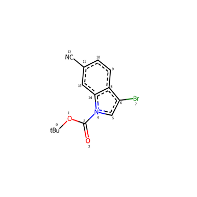 CC(C)(C)OC(=O)n1cc(Br)c2ccc(C#N)cc21